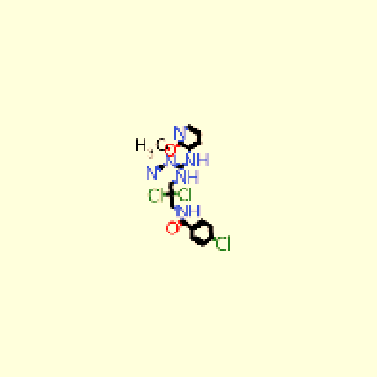 COc1ncccc1NC(=NC#N)NCC(Cl)(Cl)CNC(=O)c1ccc(Cl)cc1